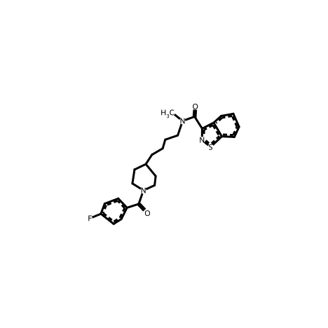 CN(CCCCC1CCN(C(=O)c2ccc(F)cc2)CC1)C(=O)c1nsc2ccccc12